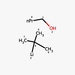 CCCCO.[Li][C](C)(C)C